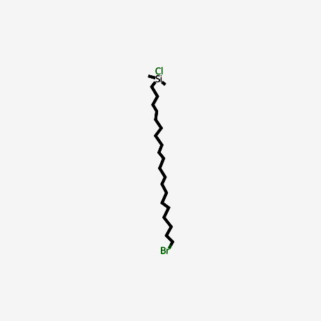 C[Si](C)(Cl)CCCCCCCCCCCCCCCCCCCCBr